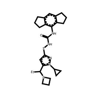 CCC(c1cc(SNC(=O)Nc2c3c(cc4c2CCC4)CCC3)nn1C1CC1)N1CCC1